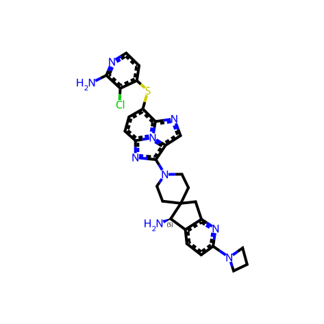 Nc1nccc(Sc2ccc3nc(N4CCC5(CC4)Cc4nc(N6CCC6)ccc4[C@H]5N)c4cnc2n34)c1Cl